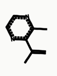 C=C(C)c1nccnc1C